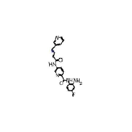 Nc1cc(F)ccc1NC(=O)c1ccc(NC(=O)C/C=C/c2cccnc2)cn1